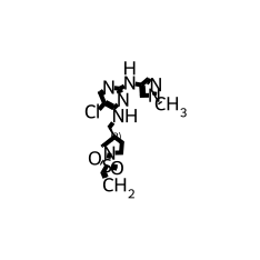 C=CS(=O)(=O)N1CC[C@H](CNc2nc(Nc3cnn(C)c3)ncc2Cl)C1